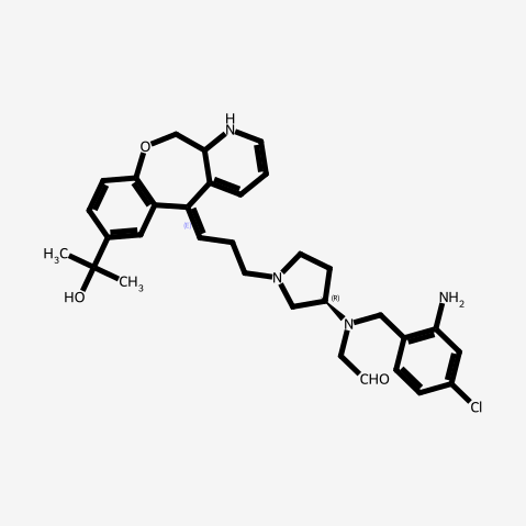 CC(C)(O)c1ccc2c(c1)/C(=C/CCN1CC[C@@H](N(CC=O)Cc3ccc(Cl)cc3N)C1)C1=CC=CNC1CO2